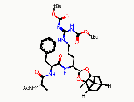 CC(=O)N[C@@H](C)C(=O)N[C@@H](Cc1ccccc1)C(=O)N[C@@H](CCCN/C(=N/C(=O)OC(C)(C)C)NC(=O)OC(C)(C)C)B1OC2C[C@@H]3C[C@@H](C3(C)C)[C@]2(C)O1